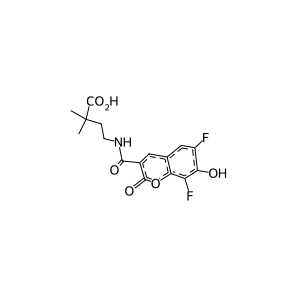 CC(C)(CCNC(=O)c1cc2cc(F)c(O)c(F)c2oc1=O)C(=O)O